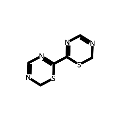 C1=NCSC(C2=NC=NCS2)=N1